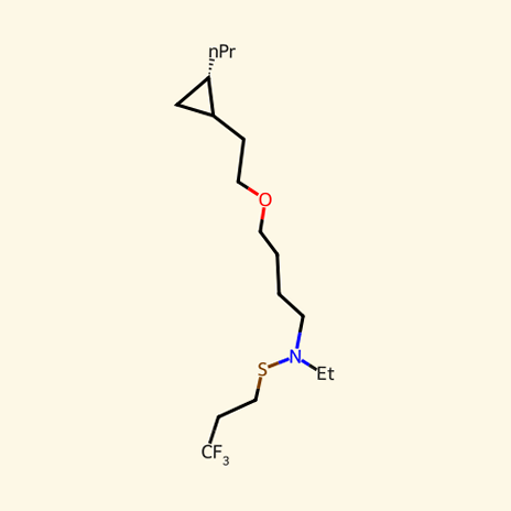 CCC[C@H]1CC1CCOCCCCN(CC)SCCC(F)(F)F